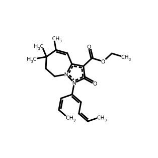 C\C=C/C=C(\C=C/C)n1c(=O)c(C(=O)OCC)c2n1CCC(C)(C)C(C)=C2